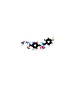 CCCNC(=O)c1ccc(-c2nc(-c3ccc(F)cc3)no2)cc1